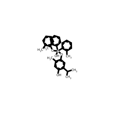 Cc1ccccc1OP(O)(Oc1cc(C(C)C)c(O)cc1C)(c1ccccc1C)c1ccccc1C